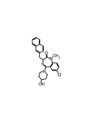 CN1C(=O)C(Cc2ccc3ccccc3c2)N=C(N2CCC(O)CC2)c2cc(Cl)ccc21